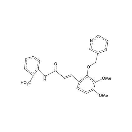 COc1ccc(/C=C/C(=O)Nc2ccccc2C(=O)O)c(OCc2cccnc2)c1OC